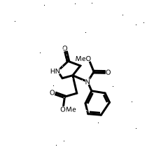 COC(=O)CC1(N(C(=O)OC)c2ccccc2)CNC(=O)C1